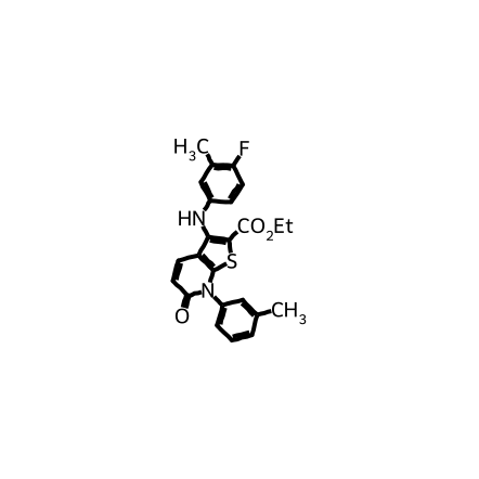 CCOC(=O)c1sc2c(ccc(=O)n2-c2cccc(C)c2)c1Nc1ccc(F)c(C)c1